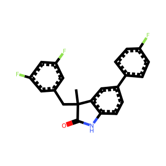 CC1(Cc2cc(F)cc(F)c2)C(=O)Nc2ccc(-c3ccc(F)cc3)cc21